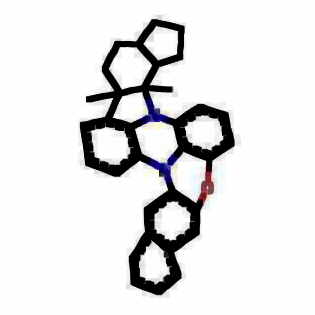 CC12CCC3CCCC3C1(C)N1c3cccc4c3N(c3cc5ccccc5cc3O4)c3cccc2c31